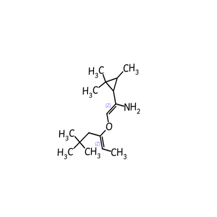 C/C=C(/CC(C)(C)C)O/C=C(\N)C1C(C)C1(C)C